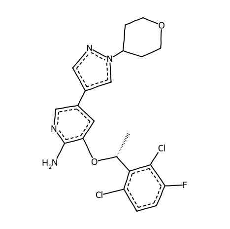 C[C@@H](Oc1cc(-c2cnn(C3CCOCC3)c2)cnc1N)c1c(Cl)ccc(F)c1Cl